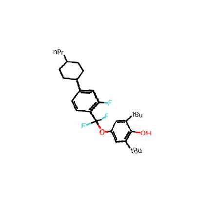 CCCC1CCC(c2ccc(C(F)(F)Oc3cc(C(C)(C)C)c(O)c(C(C)(C)C)c3)c(F)c2)CC1